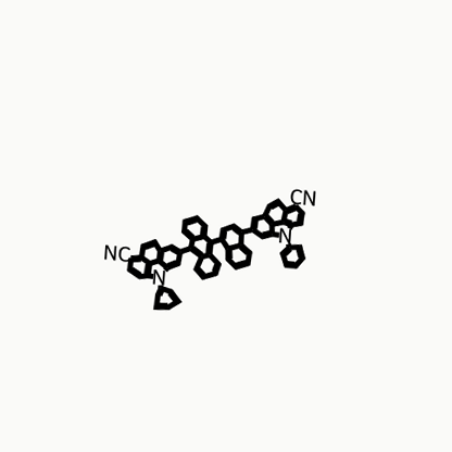 N#Cc1ccc2c3c1ccc1cc(-c4ccc(-c5c6ccccc6c(-c6cc7ccc8c(C#N)ccc9c8c7c(c6)n9-c6ccccc6)c6ccccc56)c5ccccc45)cc(c13)n2-c1ccccc1